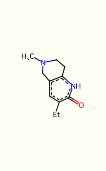 CCc1cc2c([nH]c1=O)CCN(C)C2